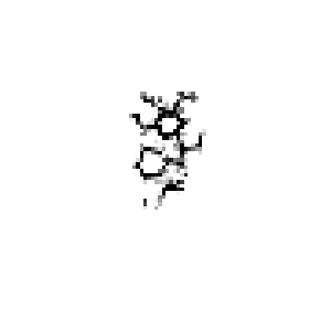 CC[C@@H](C(=O)N1CCCC[C@H]1C(=O)O)c1cc(OC)c(OC)c(OC)c1